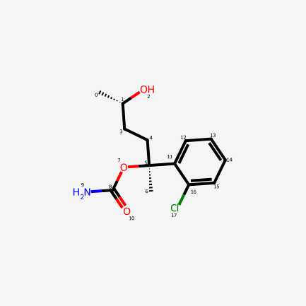 C[C@H](O)CC[C@](C)(OC(N)=O)c1ccccc1Cl